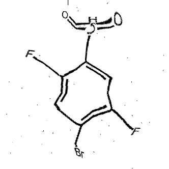 O=[SH](=O)c1cc(F)c(Br)cc1F